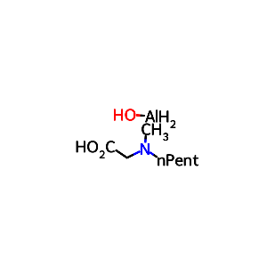 CCCCCN(C)CC(=O)O.[OH][AlH2]